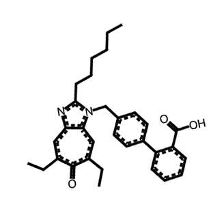 CCCCCCc1nc2cc(CC)c(=O)c(CC)cc2n1Cc1ccc(-c2ccccc2C(=O)O)cc1